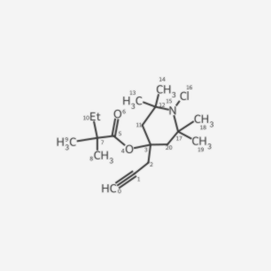 C#CCC1(OC(=O)C(C)(C)CC)CC(C)(C)N(Cl)C(C)(C)C1